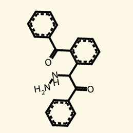 NNC(C(=O)c1ccccc1)c1ccccc1C(=O)c1ccccc1